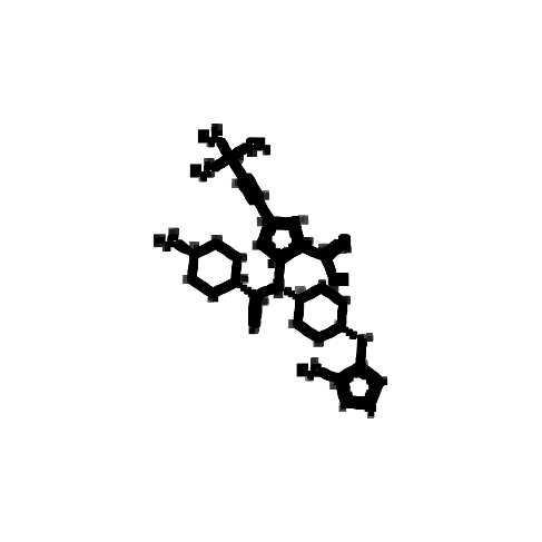 Cn1cncc1S[C@H]1CC[C@@H](N(c2cc(C#CC(C)(C)C)sc2C(=O)O)C(=O)[C@H]2CC[C@H](C)CC2)CC1